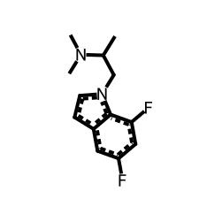 CC(Cn1ccc2cc(F)cc(F)c21)N(C)C